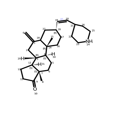 C=C1C[C@@H]2[C@H](CC[C@]3(C)C(=O)CC[C@@H]23)[C@@]2(C)CC[C@@H](/C=C\C3CCNCC3)CC12